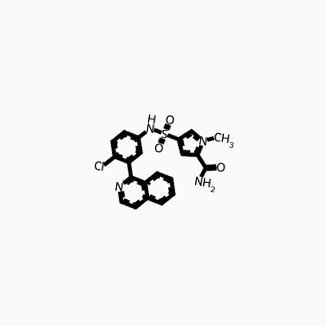 Cn1cc(S(=O)(=O)Nc2ccc(Cl)c(-c3nccc4ccccc34)c2)cc1C(N)=O